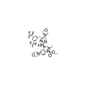 CCOC(=O)N1c2ccc(N3CCOCC3)cc2[C@@H](Nc2ncc(N3CCOCC3)c(Cc3cc(C(F)(F)F)cc(C(F)(F)F)c3)n2)C[C@H]1CC